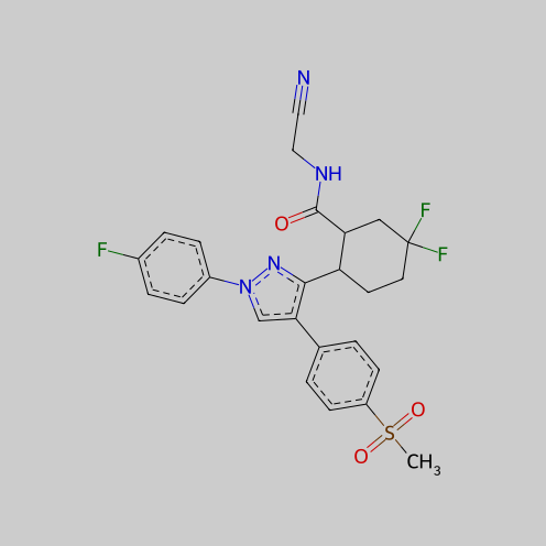 CS(=O)(=O)c1ccc(-c2cn(-c3ccc(F)cc3)nc2C2CCC(F)(F)CC2C(=O)NCC#N)cc1